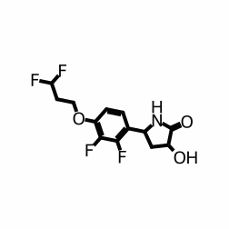 O=C1NC(c2ccc(OCCC(F)F)c(F)c2F)CC1O